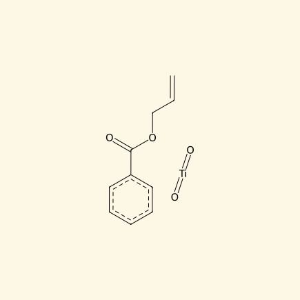 C=CCOC(=O)c1ccccc1.[O]=[Ti]=[O]